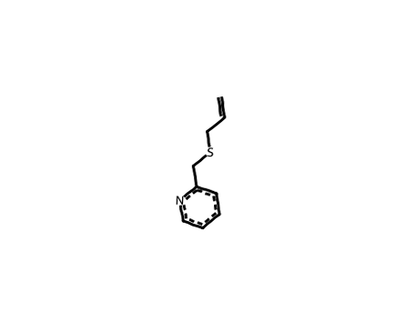 C=CCSCc1ccccn1